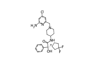 Nc1cc(Cl)cc(CN2CCC(NC(=O)C(O)(c3ccccc3)[C@@H]3CCC(F)(F)C3)CC2)n1